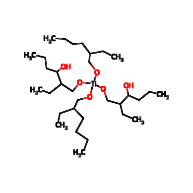 CCCCC(CC)C[O][Ti]([O]CC(CC)CCCC)([O]CC(CC)C(O)CCC)[O]CC(CC)C(O)CCC